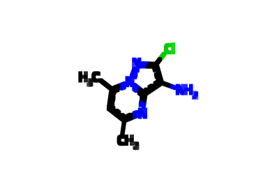 Cc1cc(C)n2nc(Cl)c(N)c2n1